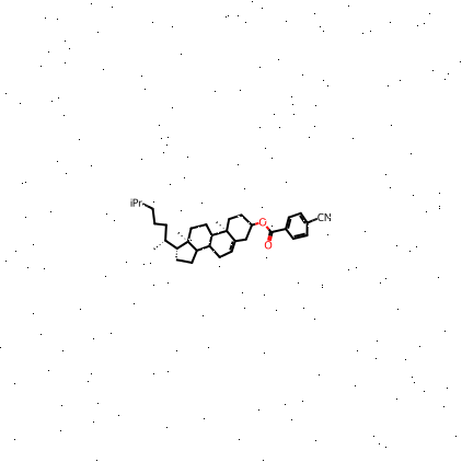 CC(C)CCC[C@@H](C)[C@H]1CCC2C3CC=C4CC(OC(=O)c5ccc(C#N)cc5)CC[C@]4(C)C3CC[C@@]21C